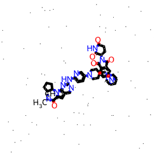 CN(C)C(=O)c1cc2cnc(Nc3ccc(N4CCC(CN5CC6CC(C5)N6c5ccc6c(c5)C(=O)N(C5CCC(=O)NC5=O)C6=O)CC4)cn3)nc2n1C1CCCC1